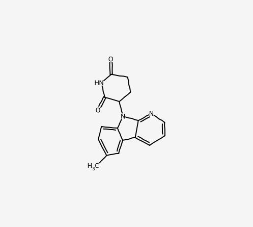 Cc1ccc2c(c1)c1cccnc1n2C1CCC(=O)NC1=O